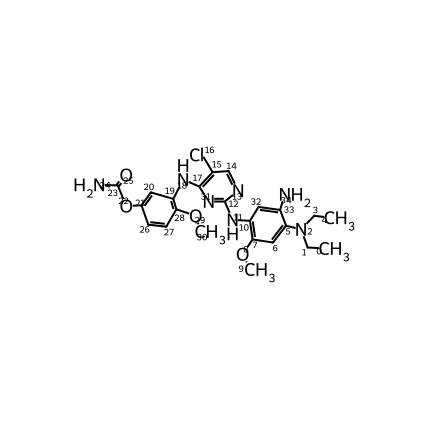 CCN(CC)c1cc(OC)c(Nc2ncc(Cl)c(Nc3cc(OC(N)=O)ccc3OC)n2)cc1N